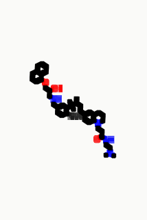 C=C(C=Cc1ccc2c(c1)CCCN2CCC(=O)NCCN(C)C)C(C)(C)c1cc(CNCC(O)COc2cccc3ccccc23)ccc1NC